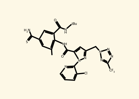 Cc1cc(C(N)=S)cc(C(=O)NC(C)(C)C)c1NC(=O)c1cc(Cn2nnc(C(F)(F)F)n2)nn1-c1ncccc1Cl